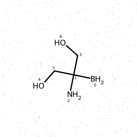 BC(N)(CO)CO